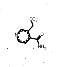 NC(=O)c1ccncc1CC(=O)O